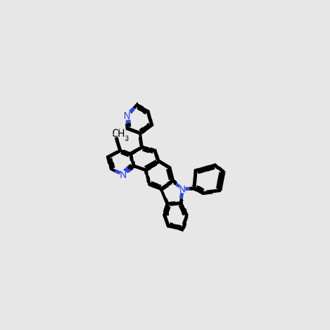 Cc1ccnc2c1c(-c1cccnc1)cc1cc3c(cc12)c1ccccc1n3-c1ccccc1